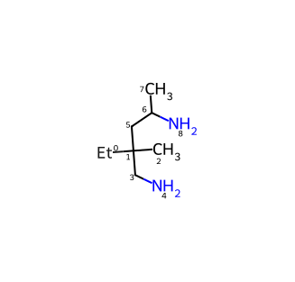 CCC(C)(CN)CC(C)N